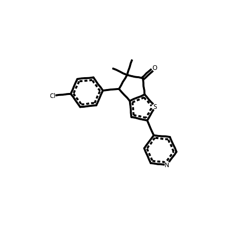 CC1(C)C(=O)c2sc(-c3ccncc3)cc2C1c1ccc(Cl)cc1